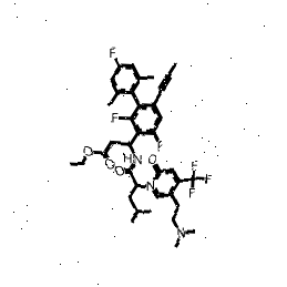 CC#Cc1cc(F)c(C(CC(=O)OCC)NC(=O)C(CC(C)C)n2cc(CCN(C)C)c(C(F)(F)F)cc2=O)c(F)c1-c1c(C)cc(F)cc1C